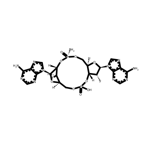 B[P@]1(=O)OC[C@H]2O[C@@H](n3cnc4c(N)ncnc43)[C@H](F)[C@@H]2OP(=O)(O)OC[C@H]2O[C@@H](n3cnc4c(N)ncnc43)[C@H](O1)[C@@H]2F